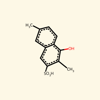 Cc1ccc2c(O)c(C)c(S(=O)(=O)O)cc2c1